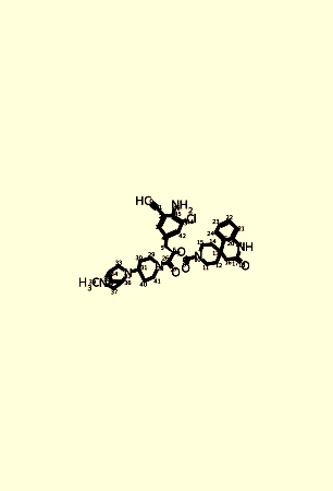 C#Cc1cc(C[C@@H](OC(=O)N2CCC3(CC2)CC(=O)Nc2ccccc23)C(=O)N2CCC(N3CC4CC3CN4C)CC2)cc(Cl)c1N